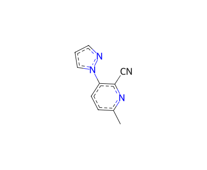 Cc1ccc(-n2cccn2)c(C#N)n1